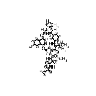 CC[C@@H]1C[C@]1(NC(=O)[C@@H]1C[C@@H](Oc2ncc(OC)c3ccc(I)cc23)CN1C(=O)[C@@H](Nc1cccc(C(=O)NC(C)(C)C)c1)C(C)(C)C)C(=O)NS(=O)(=O)C1CC1